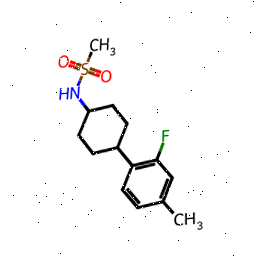 Cc1ccc(C2CCC(NS(C)(=O)=O)CC2)c(F)c1